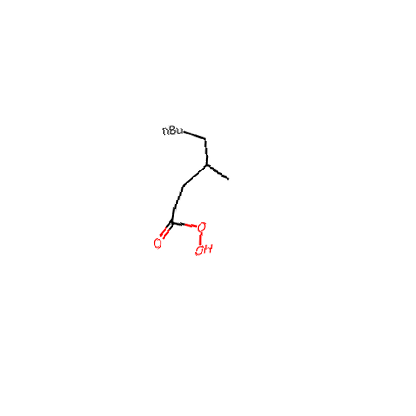 CCCCCC(C)CC(=O)OO